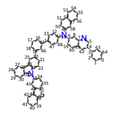 c1ccc(-c2cnc3cc(N(c4ccc(-c5cccc(-c6ccc7c(c6)c6ccccc6n7-c6ccc7sc8ccccc8c7c6)c5)cc4)c4ccc5ccccc5c4)ccc3c2)cc1